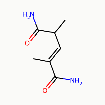 CC(=CC(C)C(N)=O)C(N)=O